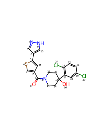 O=C(c1csc(-c2cn[nH]c2)c1)N1CCC(O)(c2cc(Cl)ccc2Cl)CC1